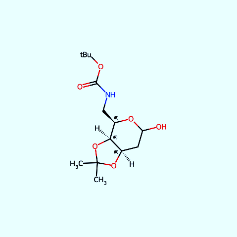 CC(C)(C)OC(=O)NC[C@H]1OC(O)C[C@H]2OC(C)(C)O[C@@H]12